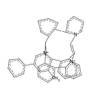 Cc1cc(-c2ccccc2)c[n+]2c1-c1ccccc1/C1=C/[n+]3ccccc3-c3ccccc3C2Cc2ccccc2-c2cccc[n+]21